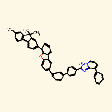 CC1(C)c2cc(C#N)ccc2-c2ccc(-c3cccc4c3oc3ccc(-c5cccc(-c6ccc(C7N=C8C(c9ccccc9)=CC=CN8N7)cc6)c5)cc34)cc21